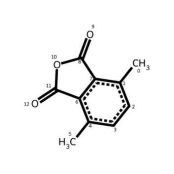 Cc1ccc(C)c2c1C(=O)OC2=O